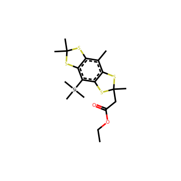 CCOC(=O)CC1(C)Sc2c(C)c3c(c([Si](C)(C)C)c2S1)SC(C)(C)S3